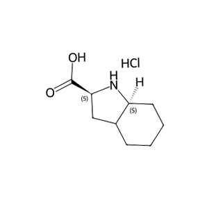 Cl.O=C(O)[C@@H]1CC2CCCC[C@@H]2N1